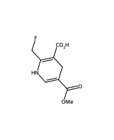 COC(=O)C1=CNC(CF)=C(C(=O)O)C1